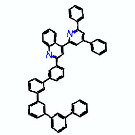 c1ccc(-c2cccc(-c3cccc(-c4cccc(-c5cccc(-c6cc(-c7cc(-c8ccccc8)cc(-c8ccccc8)n7)c7ccccc7n6)c5)c4)c3)c2)cc1